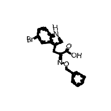 O=C(O)/C(Cc1c[nH]c2ccc(Br)cc12)=N\OCc1ccccc1